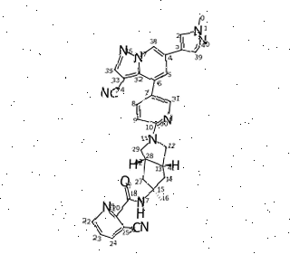 Cn1cc(-c2cc(-c3ccc(N4C[C@@H]5C[C@@](C)(NC(=O)c6ncccc6C#N)C[C@@H]5C4)nc3)c3c(C#N)cnn3c2)cn1